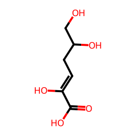 O=C(O)C(O)=CCC(O)CO